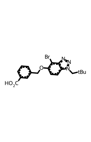 CC(C)(C)Cn1nnc2c(Br)c(OCc3cccc(C(=O)O)c3)ccc21